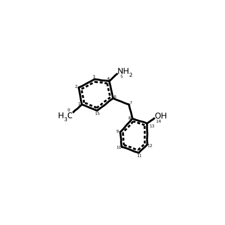 Cc1ccc(N)c(Cc2ccccc2O)c1